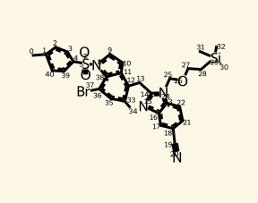 Cc1ccc(S(=O)(=O)n2ccc3c(Cc4nc5cc(C#N)ccc5n4COCC[Si](C)(C)C)c(C)cc(Br)c32)cc1